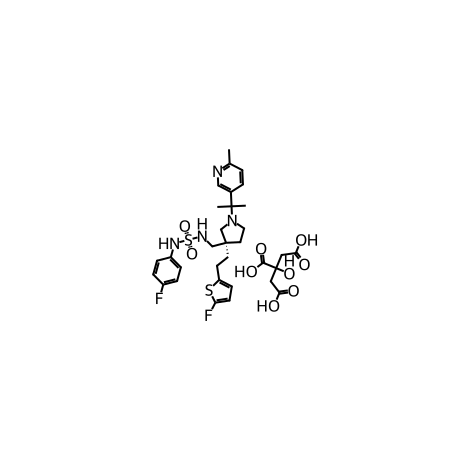 Cc1ccc(C(C)(C)N2CC[C@@](CCc3ccc(F)s3)(CNS(=O)(=O)Nc3ccc(F)cc3)C2)cn1.O=C(O)CC(O)(CC(=O)O)C(=O)O